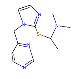 CC(Sc1nccn1Cc1ccncn1)N(C)C